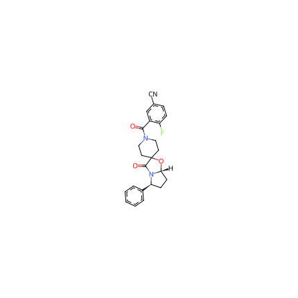 N#Cc1ccc(F)c(C(=O)N2CCC3(CC2)O[C@@H]2CC[C@@H](c4ccccc4)N2C3=O)c1